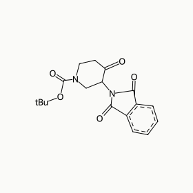 CC(C)(C)OC(=O)N1CCC(=O)C(N2C(=O)c3ccccc3C2=O)C1